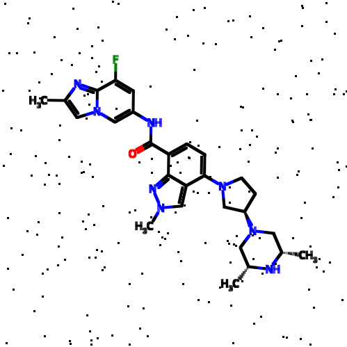 Cc1cn2cc(NC(=O)c3ccc(N4CC[C@@H](N5C[C@@H](C)N[C@@H](C)C5)C4)c4cn(C)nc34)cc(F)c2n1